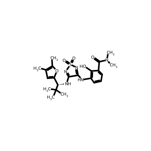 Cc1cc([C@H](NC2=NS(=O)(=O)N=C2Nc2cccc(C(=O)N(C)C)c2O)C(C)(C)C)oc1C